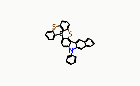 c1ccc(-n2c3cc4ccccc4cc3c3c4c(ccc32)B2c3ccccc3Sc3cccc(c32)S4)cc1